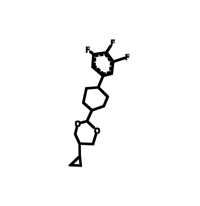 Fc1cc(C2CCC(C3OCC(C4CC4)CO3)CC2)cc(F)c1F